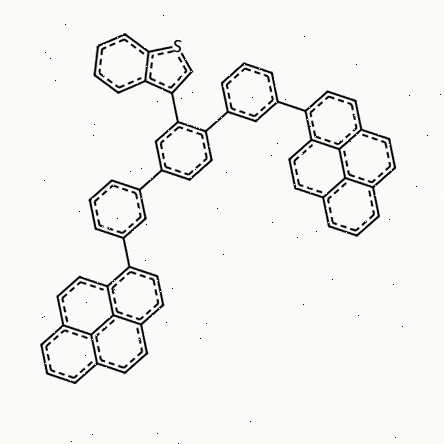 c1cc(-c2ccc(-c3cccc(-c4ccc5ccc6cccc7ccc4c5c67)c3)c(-c3csc4ccccc34)c2)cc(-c2ccc3ccc4cccc5ccc2c3c45)c1